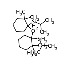 CC(C)[SiH2]C1(OC2([SiH2]C(C)C)CCCCC2(C)C)CCCCC1(C)C